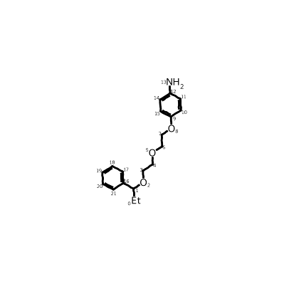 CCC(OCCOCCOc1ccc(N)cc1)c1ccccc1